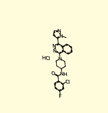 Cl.Cn1nccc1-c1nnc(N2CCC(NC(=O)c3ccc(F)cc3Cl)CC2)c2ccccc12